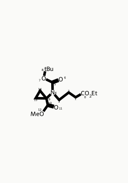 CCOC(=O)CCCN(C(=O)OC(C)(C)C)C1(C(=O)OC)CC1